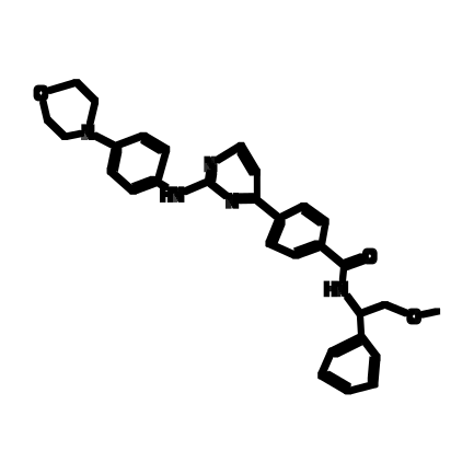 COCC(NC(=O)c1ccc(-c2ccnc(Nc3ccc(N4CCOCC4)cc3)n2)cc1)c1ccccc1